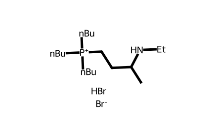 Br.CCCC[P+](CCCC)(CCCC)CCC(C)NCC.[Br-]